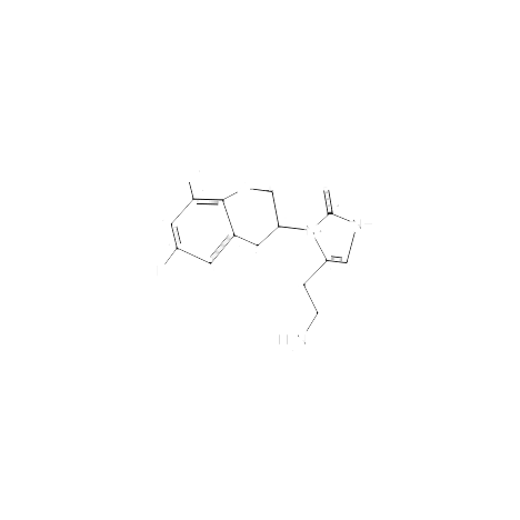 NCCc1c[nH]c(=S)n1C1COc2c(F)cc(F)cc2C1